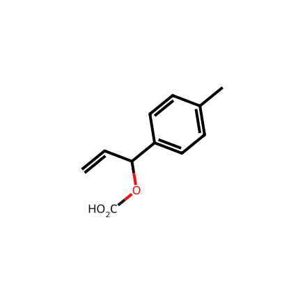 C=CC(OC(=O)O)c1ccc(C)cc1